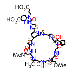 CNC(=O)C[C@@H]1NC(=O)c2csc(n2)-c2ccc(-c3nc(NC(=O)N(CCCC(=O)O)[C@H]4CC[C@H](C(=O)O)CC4)cs3)nc2-c2csc(n2)-c2csc(n2)[C@H]([C@@H](O)c2ccccc2)NC(=O)CNC(=O)c2nc(sc2COC)C(C(C)C)NC(=O)c2nc1sc2C